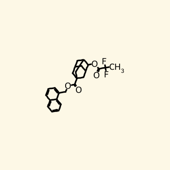 CC(F)(F)C(=O)OC1C2CC3CC1CC(C(=O)OCc1cccc4ccccc14)(C3)C2